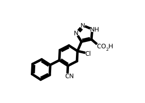 N#CC1=C(c2ccccc2)C=CC(Cl)(c2nn[nH]c2C(=O)O)C1